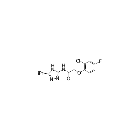 CC(C)c1nnc(NC(=O)COc2ccc(F)cc2Cl)[nH]1